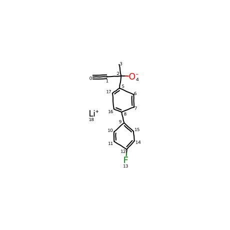 C#CC(C)([O-])c1ccc(-c2ccc(F)cc2)cc1.[Li+]